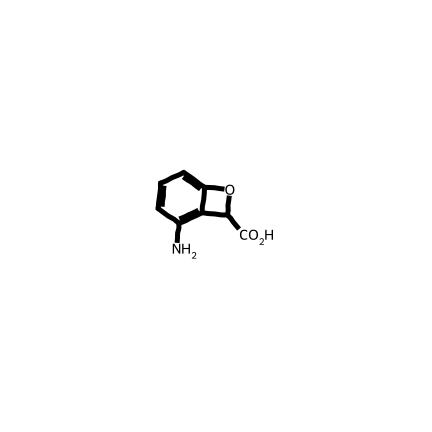 Nc1cccc2c1C(C(=O)O)O2